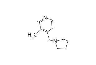 Cc1[c]nccc1CN1CCCC1